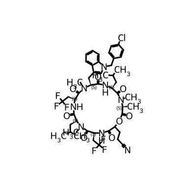 CC(C)C[C@@H]1NC(=O)[C@H](Cc2cn(Cc3ccc(Cl)cc3)c3ccccc23)N(C)C(=O)[C@H](CC(F)(F)F)NC(=O)[C@H](CC(C)C)N(C)C(=O)[C@H](CC(F)(F)F)NC(=O)C(CCC#N)OC(=O)[C@H](C)N(C)C1=O